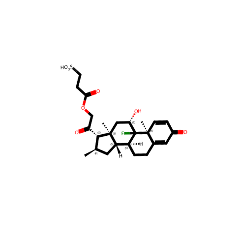 C[C@@H]1C[C@H]2[C@@H]3CCC4=CC(=O)C=C[C@]4(C)C3(F)[C@@H](O)C[C@]2(C)[C@H]1C(=O)COC(=O)CCS(=O)(=O)O